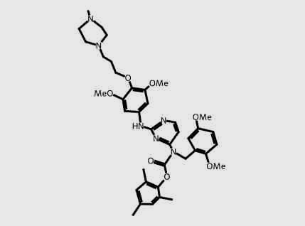 COc1ccc(OC)c(CN(C(=O)Oc2c(C)cc(C)cc2C)c2ccnc(Nc3cc(OC)c(OCCCN4CCN(C)CC4)c(OC)c3)n2)c1